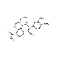 COc1ccc([C@@H](CN)Nc2c(CO)cnc3c(C(N)=O)cccc23)cc1OC